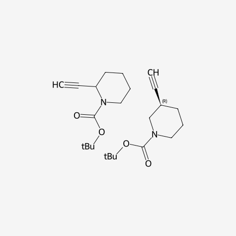 C#CC1CCCCN1C(=O)OC(C)(C)C.C#C[C@H]1CCCN(C(=O)OC(C)(C)C)C1